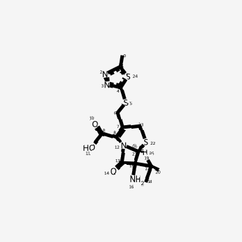 Cc1nnc(SCC2=C(C(=O)O)N3C(=O)C(N)(C(C)(C)C)[C@@H]3SC2)s1